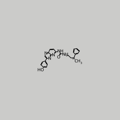 C[C@H](CCCNC(=O)Nc1ccc2ncc(-c3ccc(O)cc3)nc2n1)c1ccccc1